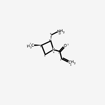 C=CC(=O)N1C[C@@H](C)[C@@H]1CN